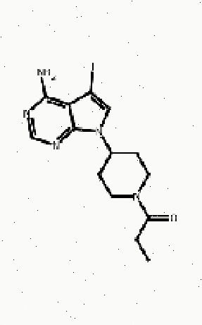 CCC(=O)N1CCC(n2cc(I)c3c(N)ncnc32)CC1